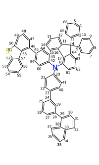 c1ccc(C2(c3ccccc3)c3ccccc3-c3c(N(c4ccc(-c5cccc(-c6cccc7ccccc67)c5)cc4)c4ccc(-c5cccc6sc7ccccc7c56)cc4)cccc32)cc1